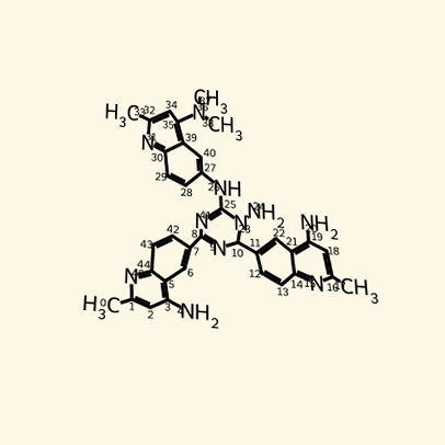 Cc1cc(N)c2cc(C3=NC(c4ccc5nc(C)cc(N)c5c4)N(N)C(Nc4ccc5nc(C)cc(N(C)C)c5c4)=N3)ccc2n1